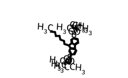 CCCCCCCCC1c2cc(B3OC(C)(C)C(C)(C)O3)ccc2-c2ccc(B3OC(C)(C)C(C)(C)O3)cc21